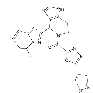 Cc1cccc2cc(C3c4nc[nH]c4CCN3C(=O)c3nnc(-c4cnn(C)c4)o3)nn12